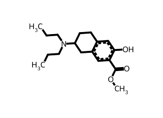 CCCN(CCC)C1CCc2cc(O)c(C(=O)OC)cc2C1